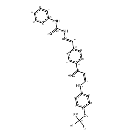 N=C(/C=C\Nc1ccc(OC(F)(F)F)cc1)c1ccc(/C=N/NC(=S)Nc2ccccc2)cc1